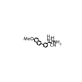 COc1ccc2cc(-c3cccc(/C(N)=C(\C#N)NN)c3)ccc2c1